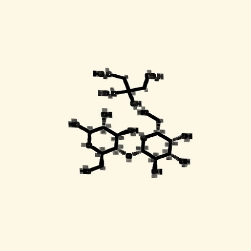 O=C(O)CC(O)(CC(=O)O)C(=O)O.OC[C@H]1O[C@@H](O[C@H]2[C@H](O)[C@@H](O)C(O)O[C@@H]2CO)[C@H](O)[C@@H](O)[C@H]1O